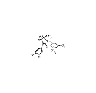 CC1(C)C(=O)N(c2ccc(Cl)c(Cl)c2)C(=O)N1Cc1cc(C(F)(F)F)cc(C(F)(F)F)c1